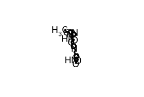 COc1ccc2nccc(NC(=O)OC3CCN(CCc4ccc5oc(=O)[nH]c5c4)CC3)c2n1